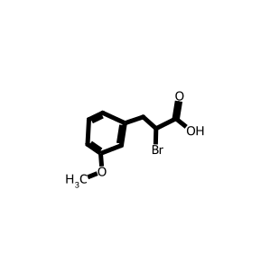 COc1cccc(CC(Br)C(=O)O)c1